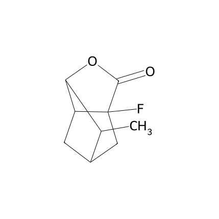 CC1C2CC3C1OC(=O)C3(F)C2